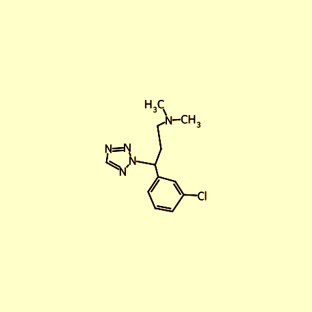 CN(C)CCC(c1cccc(Cl)c1)n1ncnn1